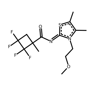 COCCn1c(C)c(C)sc1=NC(=O)C1(C)CC(F)(F)C1(F)F